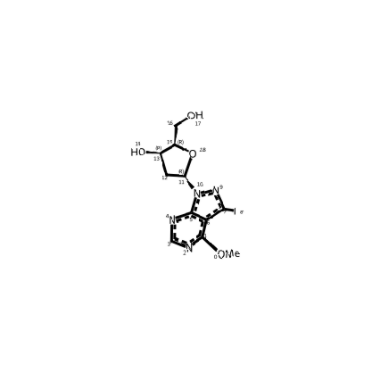 COc1ncnc2c1c(I)nn2[C@H]1C[C@@H](O)[C@@H](CO)O1